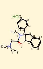 CN(C)CC(=O)N(C)C1(c2ccccc2)Cc2ccccc2C1.Cl